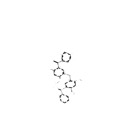 CCOc1cc(O)c(C(=O)c2ccccc2)cc1Cc1cc(C(=O)c2ccccc2)c(O)cc1OCC